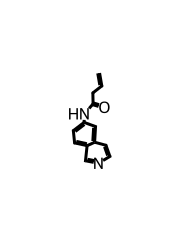 C=CCC(=O)Nc1ccc2cnccc2c1